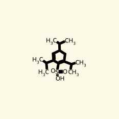 CC(C)C1=CC(C(C)C)CC(C(C)C)=C1S(=O)(=O)O